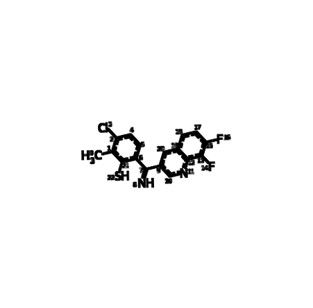 Cc1c(Cl)ccc(C(=N)c2cnc3c(F)c(F)ccc3c2)c1S